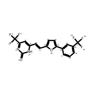 O=c1nc(C(F)(F)F)cc(C=Cc2ccc(-c3cccc(C(F)(F)F)c3)o2)[nH]1